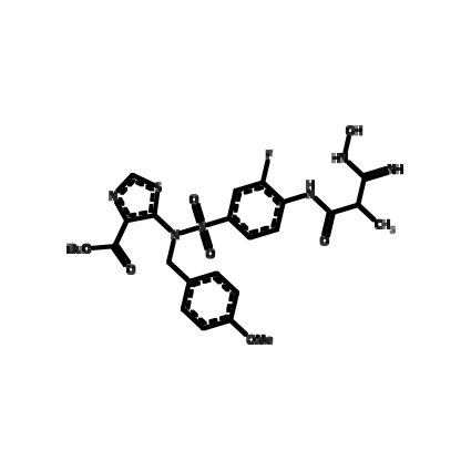 COc1ccc(CN(c2scnc2C(=O)OCC(C)C)S(=O)(=O)c2ccc(NC(=O)C(C)C(=N)NO)c(F)c2)cc1